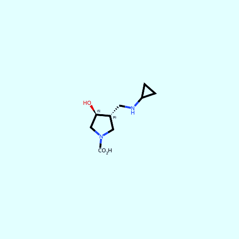 O=C(O)N1C[C@@H](CNC2CC2)[C@H](O)C1